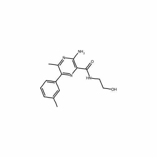 Cc1cccc(-c2nc(C(=O)NCCO)c(N)nc2C)c1